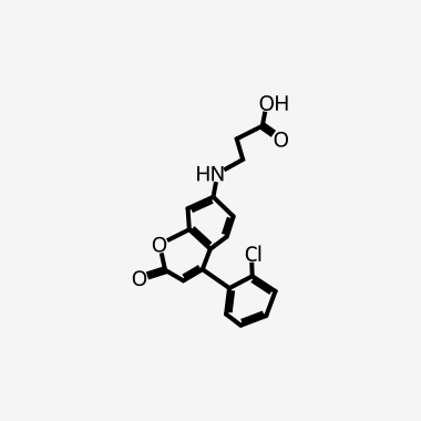 O=C(O)CCNc1ccc2c(-c3ccccc3Cl)cc(=O)oc2c1